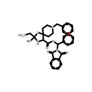 CC(C)(C)C1(CC(=O)O)NC(C(=O)OC(c2ccccc2)N2C(=O)c3ccccc3C2=O)C2(CCN(Cc3ccccc3)CC2)S1